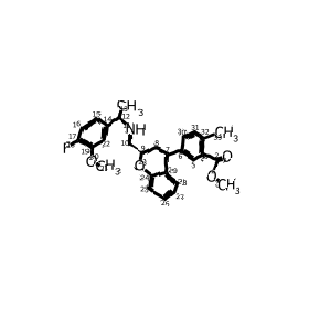 COC(=O)c1cc(C2C[C@H](CNC(C)c3ccc(F)c(OC)c3)Oc3ccccc32)ccc1C